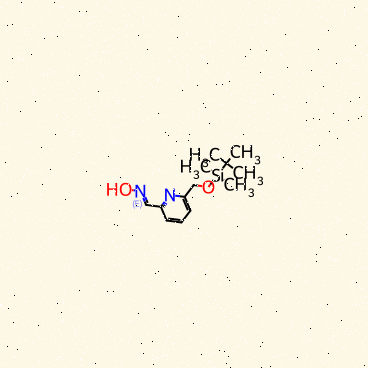 CC(C)(C)[Si](C)(C)OCc1cccc(/C=N/O)n1